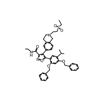 CCNC(=O)c1noc(-c2cc(C(C)C)c(OCc3ccccc3)cc2OCc2ccccc2)c1-c1ccc2c(c1)CCN(CCS(=O)(=O)CC)C2